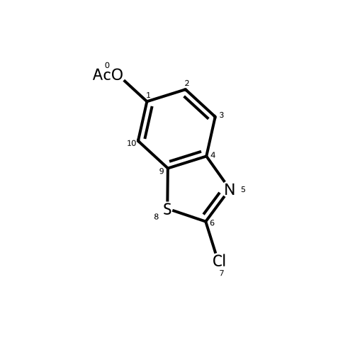 CC(=O)Oc1ccc2nc(Cl)sc2c1